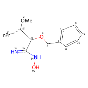 [CH2]CC[C@H](OC)C(OCc1ccccc1)C(=N)NO